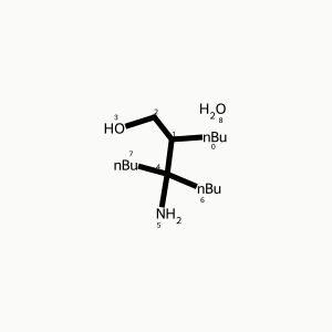 CCCCC(CO)C(N)(CCCC)CCCC.O